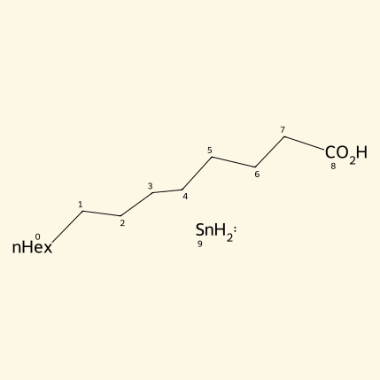 CCCCCCCCCCCCCC(=O)O.[SnH2]